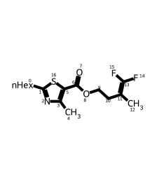 CCCCCCc1nc(C)c(C(=O)OCCC(C)=C(F)F)s1